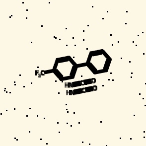 FC(F)(F)c1ccc(-c2ccccc2)cc1.N=C=O.N=C=O